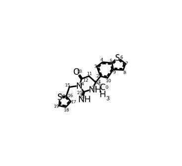 C[C@@]1(c2ccc3sccc3c2)CC(=O)N(Cc2cccs2)C(=N)N1